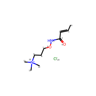 CC=CC(=O)NOCCC[N+](C)(C)C.[Cl-]